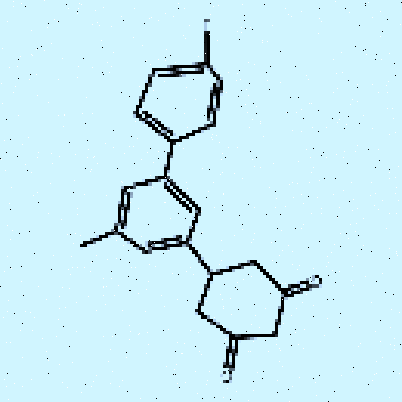 Cc1cc(-c2ccc(F)cc2)cc(C2CC(=O)CC(=O)C2)c1